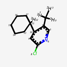 [2H]C([2H])([2H])c1cnc(Cl)cc1C1([2H])CCCCC1